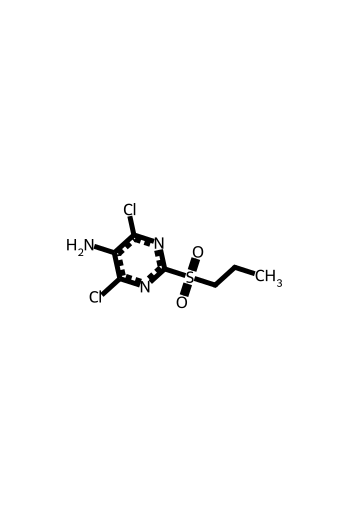 CCCS(=O)(=O)c1nc(Cl)c(N)c(Cl)n1